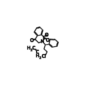 C=C.O=C1CN(C(CCCl)c2ccccc2)S(=O)(=O)c2ccccc21